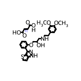 COc1ccc(CCNCC(O)COc2ccccc2-c2n[nH]c3ccsc23)cc1OC.O=C(O)/C=C/C(=O)O